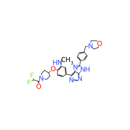 CNc1cc(-c2ncnc3[nH]c(-c4ccc(CN5CCOCC5)cc4)nc23)ccc1OC1CCN(C(=O)C(F)F)CC1